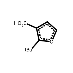 CC(C)(C)c1o[c]cc1C(=O)O